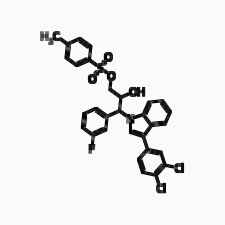 Cc1ccc(S(=O)(=O)OCC(O)C(c2cccc(F)c2)n2cc(-c3ccc(Cl)c(Cl)c3)c3ccccc32)cc1